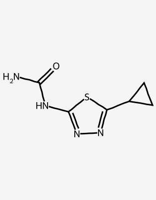 NC(=O)Nc1nnc(C2CC2)s1